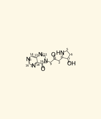 O=C(CC1NCCC1O)Cn1cnc2cncnc2c1=O